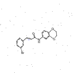 O=C(/C=C/c1cccc(Br)c1)Nc1ccc2c(c1)OCCO2